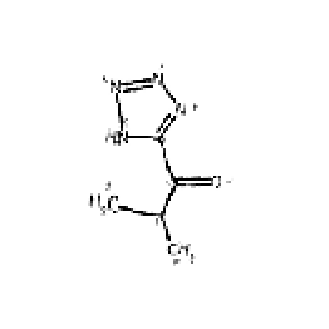 CC(C)C(=O)c1nnn[nH]1